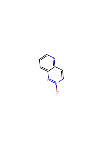 [O-][n+]1ccc2ncccc2n1